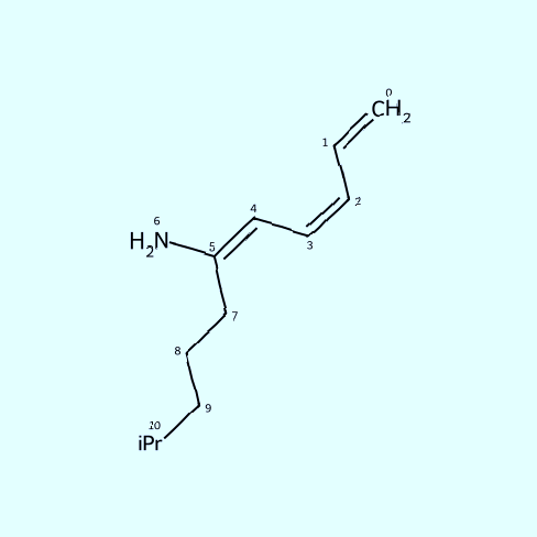 C=C/C=C\C=C(\N)CCCC(C)C